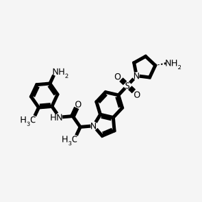 Cc1ccc(N)cc1NC(=O)C(C)n1ccc2cc(S(=O)(=O)N3CC[C@H](N)C3)ccc21